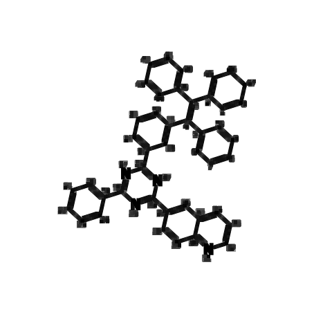 C1=CC(/C(=C(\c2ccccc2)c2cccc(-c3nc(-c4ccccc4)nc(-c4ccc5ncccc5c4)n3)c2)c2ccccc2)=CCC1